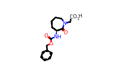 O=C(O)CN1CCCC[C@H](NC(=O)OCc2ccccc2)C1=O